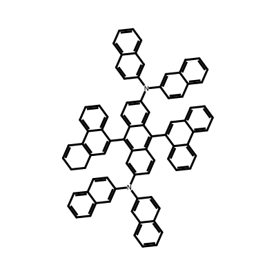 C1=Cc2c(cc(-c3c4cc(N(c5ccc6ccccc6c5)c5ccc6ccccc6c5)ccc4c(-c4cc5ccccc5c5ccccc45)c4cc(N(c5ccc6ccccc6c5)c5ccc6ccccc6c5)ccc34)c3ccccc23)CC1